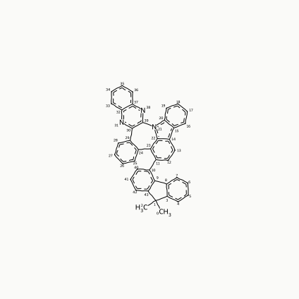 CC1(C)c2ccccc2-c2c(-c3ccc4c5ccccc5n5c4c3-c3ccccc3-c3nc4ccccc4nc3-5)cccc21